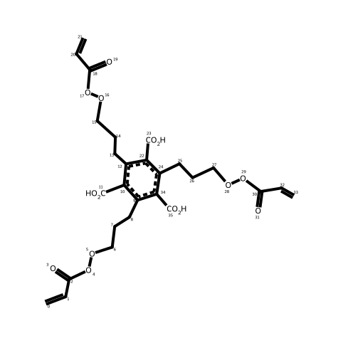 C=CC(=O)OOCCCc1c(C(=O)O)c(CCCOOC(=O)C=C)c(C(=O)O)c(CCCOOC(=O)C=C)c1C(=O)O